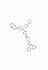 c1ccc(-c2ccc(N(c3ccc(-c4ccc(-c5cc6c7ccccc7c7ccccc7c6s5)cc4)cc3)c3ccc(-c4ccc5ccccc5c4)cc3)cc2)cc1